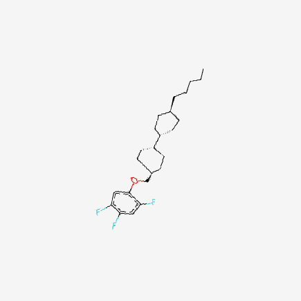 CCCCC[C@H]1CC[C@H]([C@H]2CC[C@H](COc3cc(F)c(F)cc3F)CC2)CC1